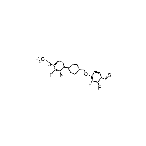 CCOC1=CCC(C2CCC(COC3=C(F)C(F)C(C=O)C=C3)CC2)C(F)=C1F